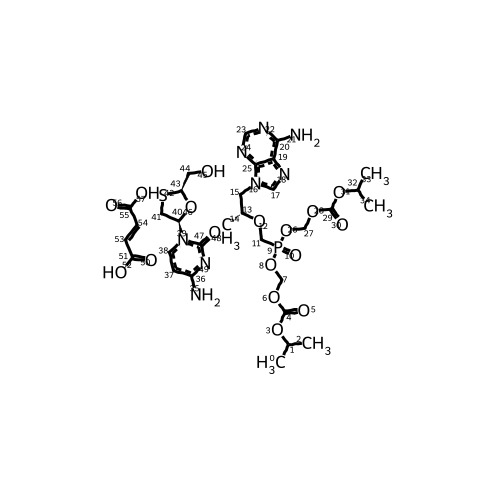 CC(C)OC(=O)OCOP(=O)(CO[C@H](C)Cn1cnc2c(N)ncnc21)OCOC(=O)OC(C)C.Nc1ccn([C@H]2CS[C@@H](CO)O2)c(=O)n1.O=C(O)/C=C/C(=O)O